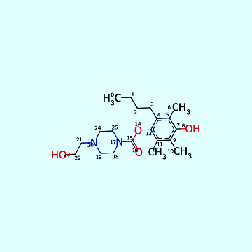 CCCCc1c(C)c(O)c(C)c(C)c1OC(=O)N1CCN(CCO)CC1